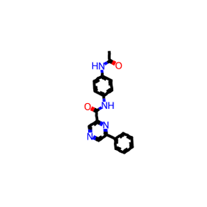 CC(=O)Nc1ccc(NC(=O)c2cncc(-c3ccccc3)n2)cc1